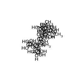 CC(=O)N[C@H]1[C@H](OC[C@H]2O[C@@H](O[C@H]3[C@H](O)[C@@H](O)[C@H](O)O[C@@H]3CO)[C@H](O)[C@@H](O[C@H]3O[C@H](CO)[C@H](O)[C@H](O)[C@H]3O)[C@H]2O)O[C@H](CO)[C@@H](O[C@@H]2O[C@H](CO)[C@H](O[C@@H]3O[C@H](CO)[C@H](O)[C@H](O)[C@H]3NC(C)=O)[C@H](O[C@]3(C(=O)O)C[C@H](O)[C@@H](NC(C)=O)[C@H]([C@H](O)[C@H](O)CO)O3)[C@H]2O)[C@@H]1O